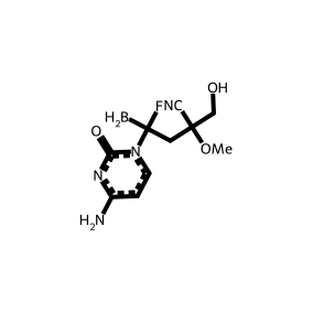 BC(F)(CC(C#N)(CO)OC)n1ccc(N)nc1=O